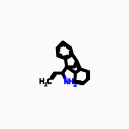 C=CC(N)C12CC(=C3C=CC=CC31)c1ccccc12